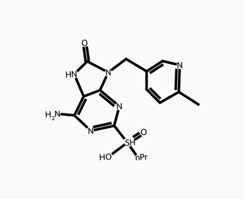 CCC[SH](=O)(O)c1nc(N)c2[nH]c(=O)n(Cc3ccc(C)nc3)c2n1